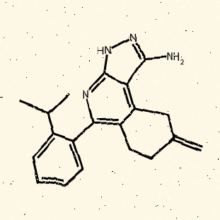 C=C1CCc2c(-c3ccccc3C(C)C)nc3[nH]nc(N)c3c2C1